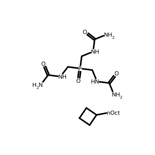 CCCCCCCCC1CCC1.NC(=O)NCP(=O)(CNC(N)=O)CNC(N)=O